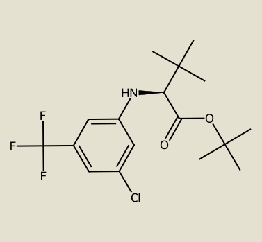 CC(C)(C)OC(=O)[C@@H](Nc1cc(Cl)cc(C(F)(F)F)c1)C(C)(C)C